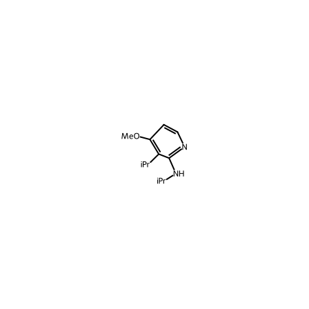 COc1ccnc(NC(C)C)c1C(C)C